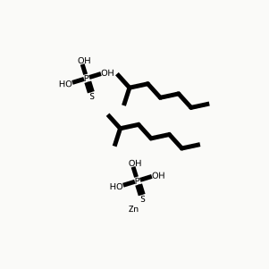 CCCCCC(C)C.CCCCCC(C)C.OP(O)(O)=S.OP(O)(O)=S.[Zn]